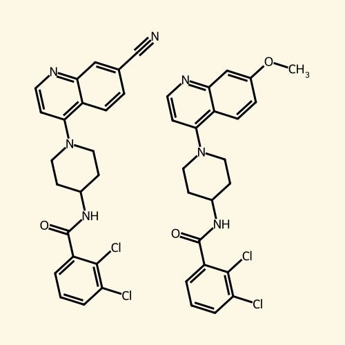 COc1ccc2c(N3CCC(NC(=O)c4cccc(Cl)c4Cl)CC3)ccnc2c1.N#Cc1ccc2c(N3CCC(NC(=O)c4cccc(Cl)c4Cl)CC3)ccnc2c1